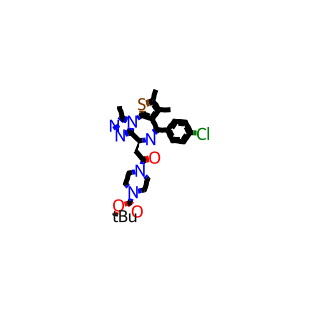 Cc1sc2c(c1C)C(c1ccc(Cl)cc1)=N[C@@H](CC(=O)N1CCN(C(=O)OC(C)(C)C)CC1)c1nnc(C)n1-2